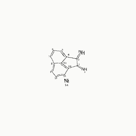 N=C1C(=N)c2cccc3cccc1c23.[Ni]